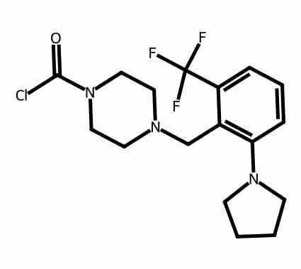 O=C(Cl)N1CCN(Cc2c(N3CCCC3)cccc2C(F)(F)F)CC1